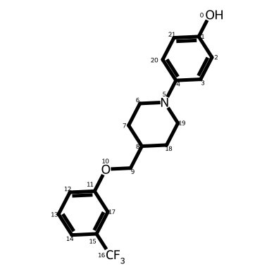 Oc1ccc(N2CCC(COc3cccc(C(F)(F)F)c3)CC2)cc1